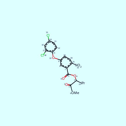 COC(=O)C(OC(=O)c1cc(Oc2ccc(Cl)cc2Cl)ccc1[N+](=O)[O-])C(C)C